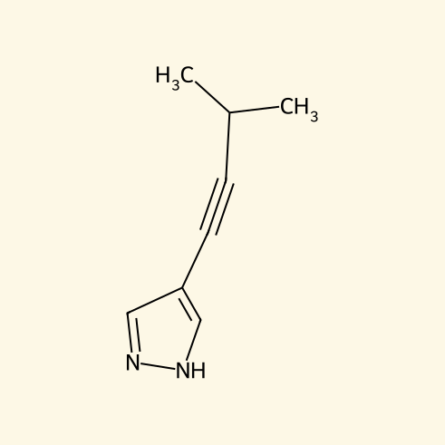 CC(C)C#Cc1cn[nH]c1